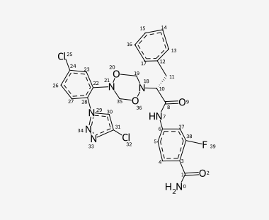 NC(=O)c1ccc(NC(=O)[C@@H](Cc2ccccc2)N2CON(c3cc(Cl)ccc3-n3cc(Cl)nn3)CO2)cc1F